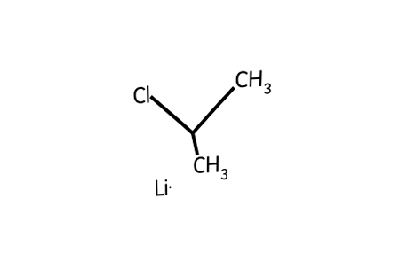 CC(C)Cl.[Li]